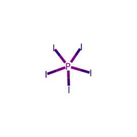 IP(I)(I)(I)I